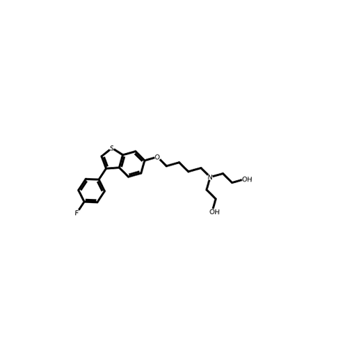 OCCN(CCO)CCCCOc1ccc2c(-c3ccc(F)cc3)csc2c1